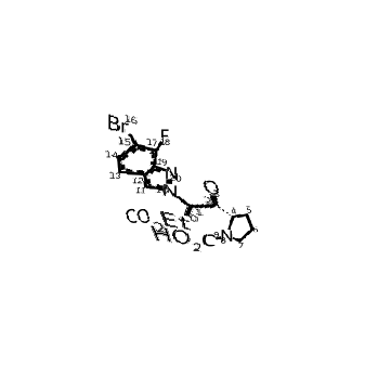 CCOC(=O)C(C(=O)[C@@H]1CCCN1C(=O)O)n1cc2ccc(Br)c(F)c2n1